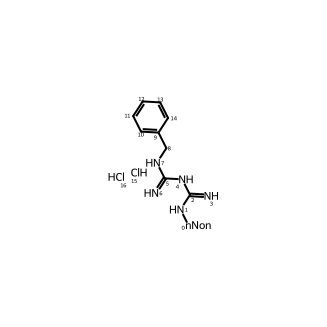 CCCCCCCCCNC(=N)NC(=N)NCc1ccccc1.Cl.Cl